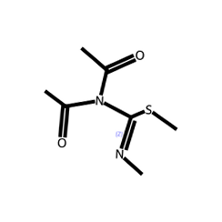 C/N=C(\SC)N(C(C)=O)C(C)=O